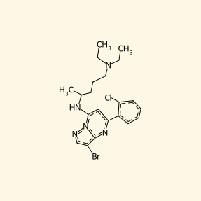 CCN(CC)CCCC(C)Nc1cc(-c2ccccc2Cl)nc2c(Br)cnn12